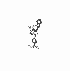 NC(=O)C1CCC(c2nc(-c3cc4ccccc4[nH]3)c3c(N)nccn23)CC1